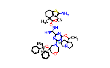 CC(Oc1nc(C(=N)NOC(=O)[C@@]2(C)CCCc3sc(N)c(C#N)c32)nc(N2CCOCC(C)(O[Si](c3ccccc3)(c3ccccc3)C(C)(C)C)C2)n1)[C@@]12CCCN1C[C@H](F)C2